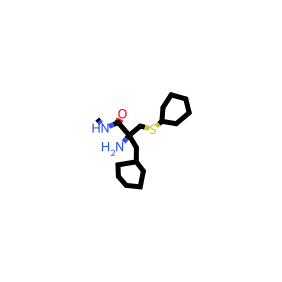 CNC(=O)C(N)(CSC1CCCCC1)CC1CCCCC1